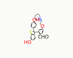 O=Cc1ccc(OCCN2CCCCC2)cc1-c1c(-c2ccc(O)cc2)sc2cc(O)ccc12